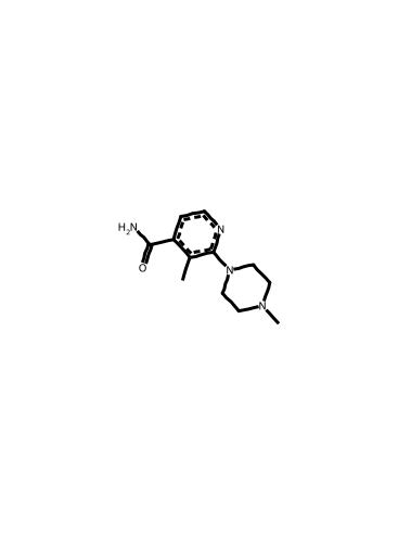 Cc1c(C(N)=O)ccnc1N1CCN(C)CC1